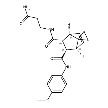 COc1ccc(NC(=O)[C@H]2[C@H](C(=O)NCCC(N)=O)[C@H]3C=C[C@@H]2C32CC2)cc1